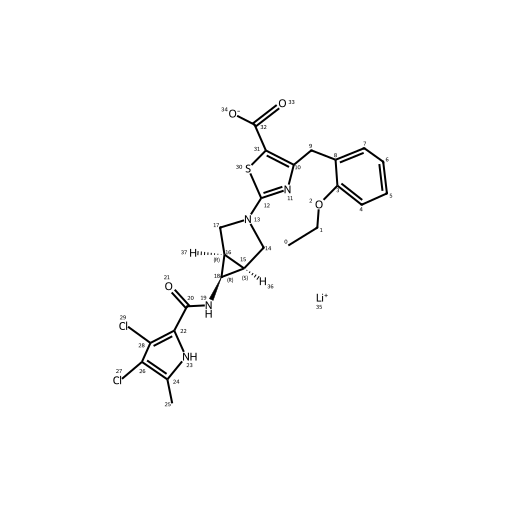 CCOc1ccccc1Cc1nc(N2C[C@@H]3[C@H](C2)[C@@H]3NC(=O)c2[nH]c(C)c(Cl)c2Cl)sc1C(=O)[O-].[Li+]